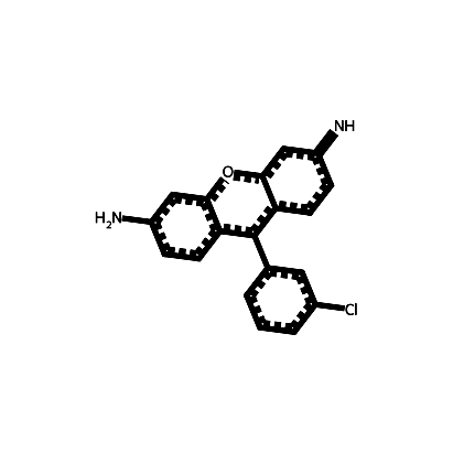 N=c1ccc2c(-c3cccc(Cl)c3)c3ccc(N)cc3oc-2c1